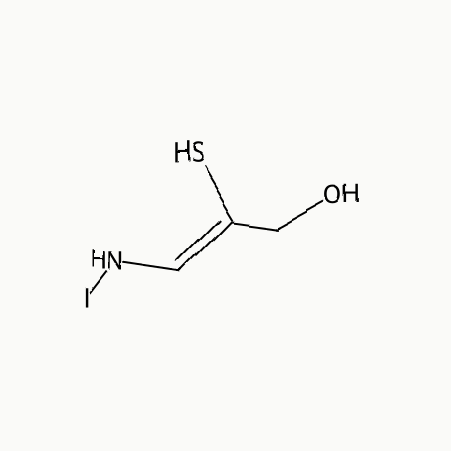 OC/C(S)=C/NI